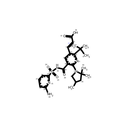 CC1CN(c2nc(C(C)(C)C)c(/C=C/C(=O)O)cc2C(=O)NS(=O)(=O)c2cccc(N)n2)C(C)(C)C1